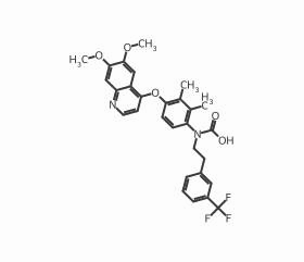 COc1cc2nccc(Oc3ccc(N(CCc4cccc(C(F)(F)F)c4)C(=O)O)c(C)c3C)c2cc1OC